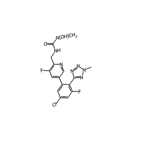 CN(O)C(=O)NCc1ncc(-c2cc(Cl)cc(F)c2-c2nnn(C)n2)cc1F